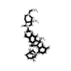 CCN1CC[C@H](CF)[C@](C)(COc2ncc3cc(F)c(C4(N)Sc5c(F)ccc(N6C[C@H]7CC[C@@H](C6)N7)c5C4C#N)c(F)c3n2)C1